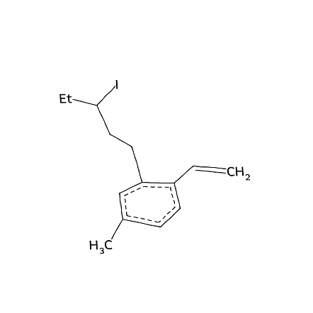 C=Cc1ccc(C)cc1CCC(I)CC